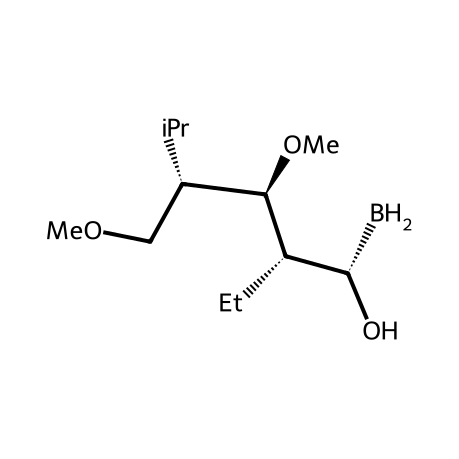 B[C@H](O)[C@H](CC)[C@H](OC)[C@H](COC)C(C)C